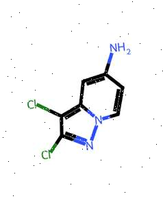 Nc1ccn2nc(Cl)c(Cl)c2c1